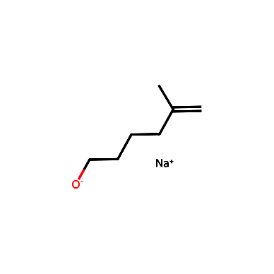 C=C(C)CCCC[O-].[Na+]